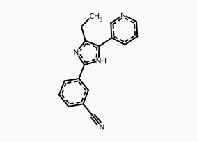 CCc1nc(-c2cccc(C#N)c2)[nH]c1-c1cccnc1